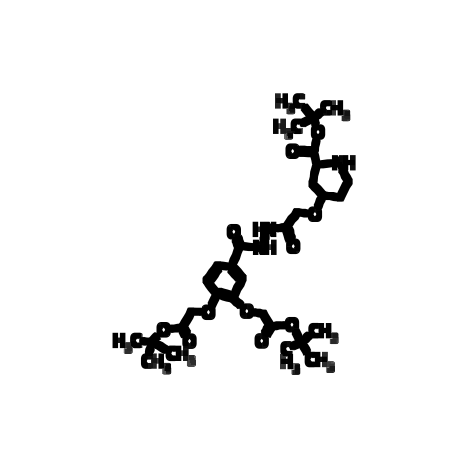 CC(C)(C)OC(=O)COc1ccc(C(=O)NNC(=O)COC2CCNC(C(=O)OC(C)(C)C)C2)cc1OCC(=O)OC(C)(C)C